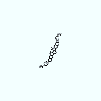 CC(C)C1CCN(c2ccc3cc4c(cc3c2)C(C)(C)c2c-4ccc3c2C(C)(C)c2cc4cc(N5CCC(C(C)C)CC5)ccc4cc2-3)CC1